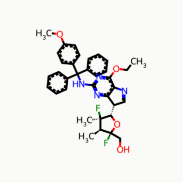 CCOc1nc(NC(c2ccccc2)(c2ccccc2)c2ccc(OC)cc2)nc2c1N=CC2[C@@H]1O[C@](F)(CO)[C@@H](C)[C@@]1(C)F